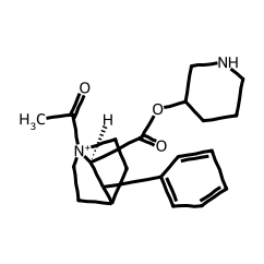 CC(=O)[N+]12CCC(CC1)C(c1ccccc1)[C@@H]2C(=O)OC1CCCNC1